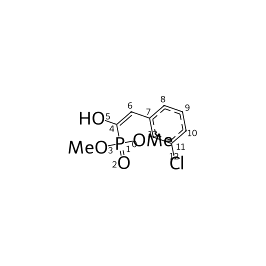 COP(=O)(OC)/C(O)=C\c1cccc(Cl)c1